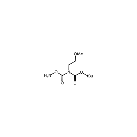 COCCN(C(=O)ON)C(=O)OC(C)(C)C